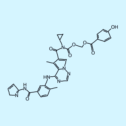 Cc1ccc(C(=O)NC2=NCC=C2)cc1Nc1ncnn2cc(C(=O)N(C(=O)OCOC(=O)c3ccc(O)cc3)C3CC3)c(C)c12